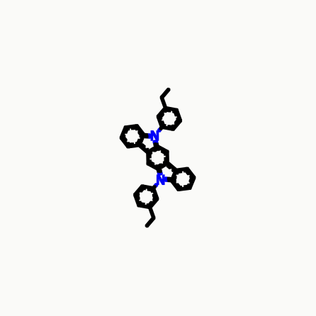 CCc1cccc(-n2c3ccccc3c3cc4c(cc32)c2ccccc2n4-c2cccc(CC)c2)c1